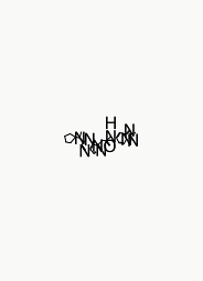 CN(c1cnc2cnn(CC(=O)Nc3ccn4ncnc4c3)c2n1)C1CCCC1